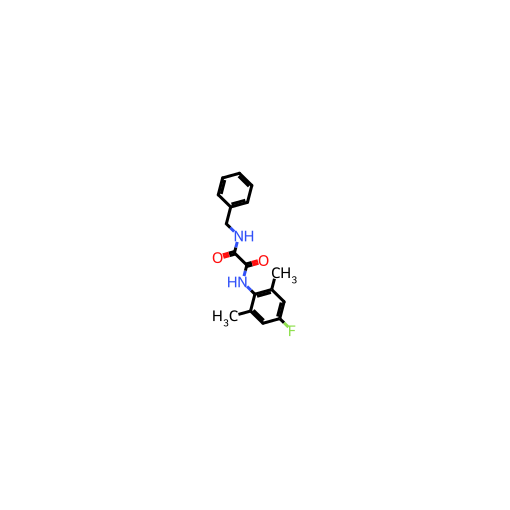 Cc1cc(F)cc(C)c1NC(=O)C(=O)NCc1ccccc1